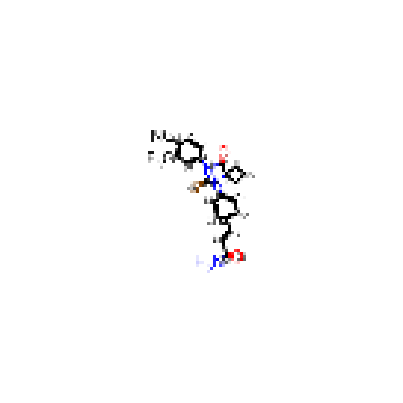 N#Cc1ccc(N2C(=O)C3(CCC3)N(c3ccc(/C=C/C(N)=O)cc3)C2=S)cc1C(F)(F)F